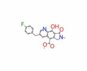 COC(=O)c1c2c(c(O)c3ncc(Cc4ccc(F)cc4)cc13)C(=O)N(C)C2